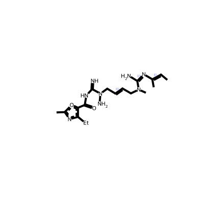 C/C=C(C)/N=C(/N)N(C)C/C=C/CN(N)C(=N)NC(=O)c1oc(C)nc1CC